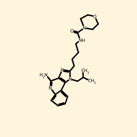 CC(C)Cn1c(CCCCNC(=O)N2CCOCC2)nc2c(N)nc3ccccc3c21